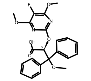 COc1nc(O[C@H](C(=O)O)C(OC)(c2ccccc2)c2ccccc2)nc(OC)c1F